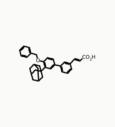 O=C(O)C=Cc1cccc(-c2ccc(OCc3ccccc3)c(C34CC5CC(CC(C5)C3)C4)c2)c1